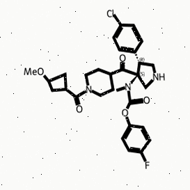 COC1CC(C(=O)N2CCC(C(=O)[C@@]3(N(C)C(=O)Oc4ccc(F)cc4)CNC[C@H]3c3ccc(Cl)cc3)CC2)C1